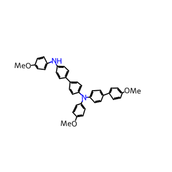 COc1ccc(Nc2ccc(-c3ccc(N(c4ccc(OC)cc4)c4ccc(-c5ccc(OC)cc5)cc4)cc3)cc2)cc1